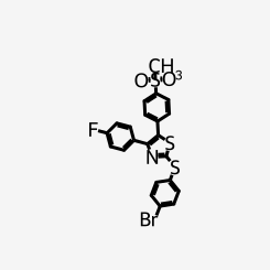 CS(=O)(=O)c1ccc(-c2sc(Sc3ccc(Br)cc3)nc2-c2ccc(F)cc2)cc1